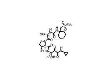 CCCCC[C@@H](NC(=O)[C@@H]1C(C(C)C)CCN1C(=O)[C@@H](NC(=O)NC1(CS(=O)(=O)C(C)(C)C)CCCCC1)C(C)(C)C)C(=O)C(=O)NC1CC1